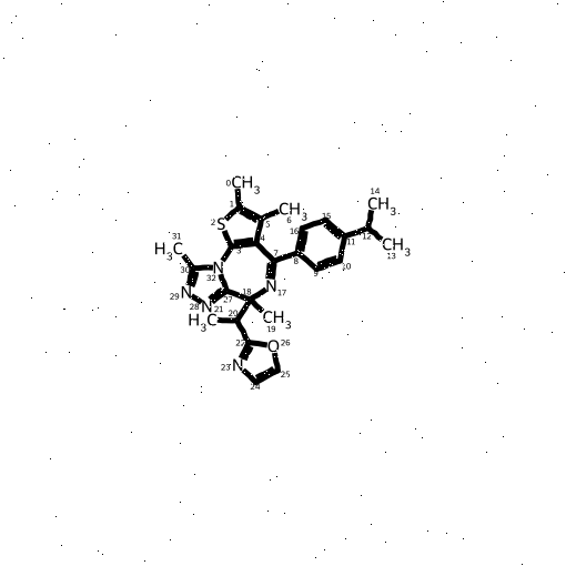 Cc1sc2c(c1C)C(c1ccc(C(C)C)cc1)=NC(C)(C(C)c1ncco1)c1nnc(C)n1-2